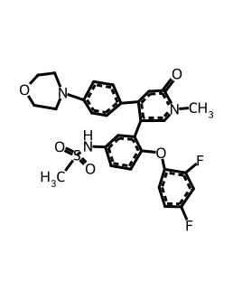 Cn1cc(-c2cc(NS(C)(=O)=O)ccc2Oc2ccc(F)cc2F)c(-c2ccc(N3CCOCC3)cc2)cc1=O